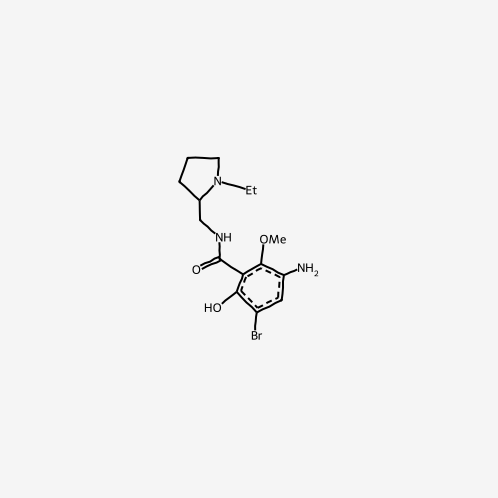 CCN1CCCC1CNC(=O)c1c(O)c(Br)cc(N)c1OC